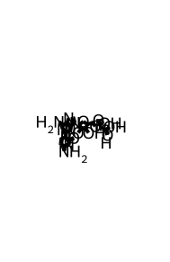 Nc1ccn(-c2nc(N)c3ncn(C4OC(COP(=O)(O)C[PH](=O)O)C(O)C4O)c3n2)c(=O)n1